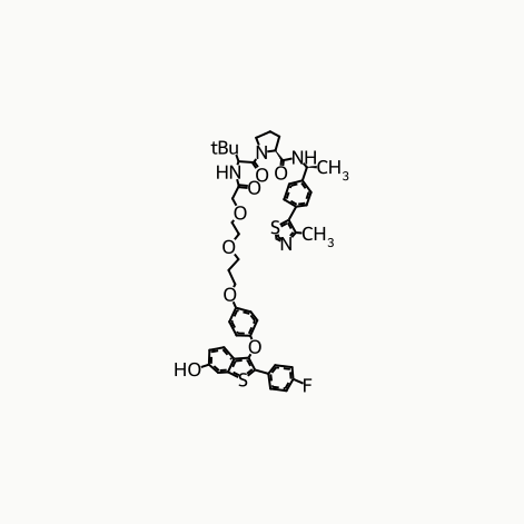 Cc1ncsc1-c1ccc([C@H](C)NC(=O)[C@@H]2CCCN2C(=O)C(NC(=O)COCCOCCCOc2ccc(Oc3c(-c4ccc(F)cc4)sc4cc(O)ccc34)cc2)C(C)(C)C)cc1